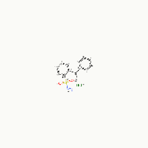 CC(c1ccccc1)c1ccccc1S(N)(=O)=O.Cl